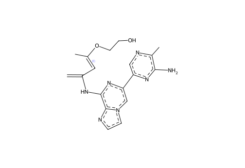 C=C(/C=C(\C)OCCO)Nc1nc(-c2cnc(C)c(N)n2)cn2ccnc12